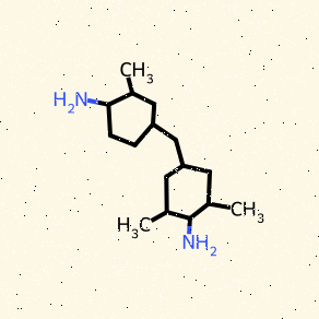 CC1CC(CC2CC(C)C(N)C(C)C2)CCC1N